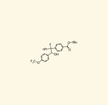 CCCC(F)(c1ccc(C(=O)OC(C)(C)C)cc1)C(O)c1ccc(OC(F)(F)F)cc1